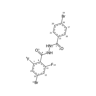 O=C(NNC(=O)c1c(F)cc(Br)cc1F)c1ccc(Br)cc1